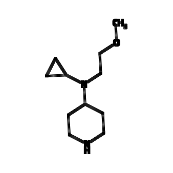 COCCN(C1CCNCC1)C1CC1